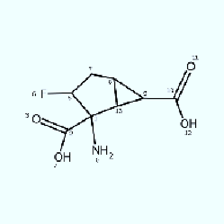 NC1(C(=O)O)C(F)CC2C(C(=O)O)C21